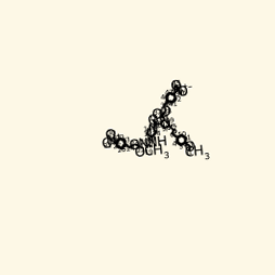 COc1ccc(CS[C@H]2C[C@@H](C(=O)N3CC[C@H](NC(C)=NC(=O)OCc4ccc([N+](=O)[O-])cc4)C3)N(C(=O)OCc3ccc([N+](=O)[O-])cc3)C2)cc1